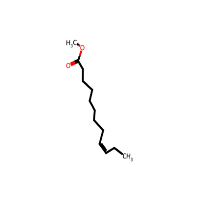 CC/C=C\CCCCCCCC(=O)OC